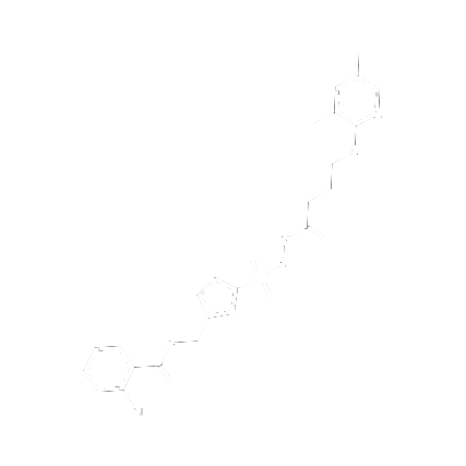 Nc1ccccc1C(=O)NCc1ccc(S(=O)(=O)NNC(=O)CCCNc2ncc(C(F)(F)F)cc2Cl)s1